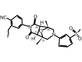 C[C@]12CN(c3cccc(S(C)(=O)=O)c3)C[C@](C)(O1)[C@@H]1C(=O)N(c3ccc(C#N)c(CF)c3)C(=O)[C@@H]12